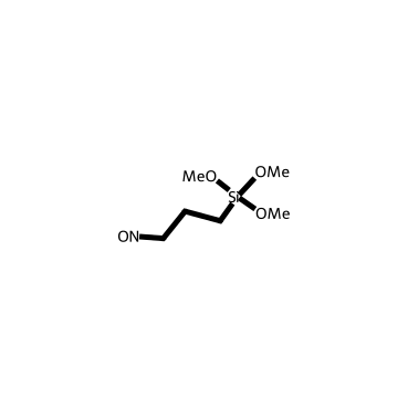 CO[Si](CCCN=O)(OC)OC